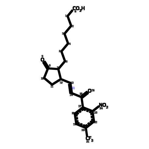 O=C(O)CCCCCCC1C(=O)CCC1/C=C/C(=O)c1ccc(C(F)(F)F)cc1[N+](=O)[O-]